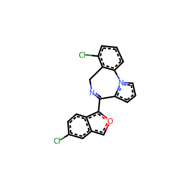 Clc1ccc2c(C3=NCc4c(Cl)cccc4-n4cccc43)occ2c1